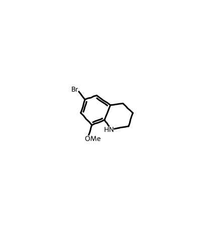 COc1cc(Br)cc2c1NCCC2